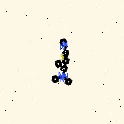 c1ccc(-c2nc(-c3ccccc3)nc(-c3ccc(-c4ccc5c(c4)sc4cc(-c6cn7ccccc7n6)ccc45)c(-c4ccccc4)c3)n2)cc1